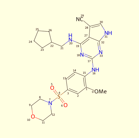 COc1cc(S(=O)(=O)N2CCOCC2)ccc1Nc1nc(NCC2CCCC2)c2c(C#N)c[nH]c2n1